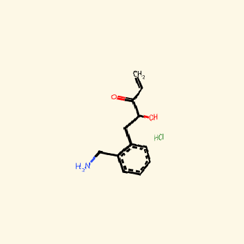 C=CC(=O)C(O)Cc1ccccc1CN.Cl